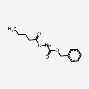 CCCCC(=O)ONC(=O)OCc1ccccc1